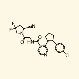 N#CC1CC(F)(F)CN1C(=O)CNC(=O)c1ccncc1C1=C(c2ccc(Cl)cc2)CCC1